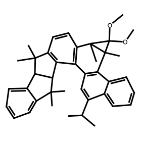 COC1(OC)C2(C)c3ccc4c(c3-c3cc(C(C)C)c5ccccc5c3C12C)C1C(c2ccccc2C1(C)C)C4(C)C